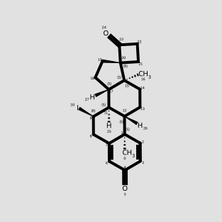 C[C@]12C=CC(=O)C=C1C[C@@H](I)[C@@H]1[C@@H]2CC[C@@]2(C)[C@H]1CC[C@@]21CCC1=O